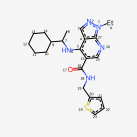 CCn1ncc2c(NC(C)C3CCCCC3)c(C(=O)NCc3cccs3)cnc21